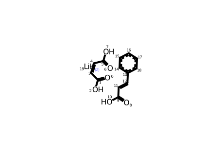 O=C(O)/C=C\C(=O)O.O=C(O)C=Cc1ccccc1.[LiH]